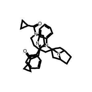 O=C(Cc1nc2ccccc2n1C1CC2CCC(C1)N2CCC1(c2ccccc2)CCN(C(=O)C2CC2)CC1)C1CC1